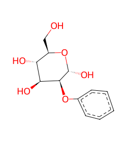 OC[C@H]1O[C@H](O)[C@@H](Oc2ccccc2)[C@@H](O)[C@@H]1O